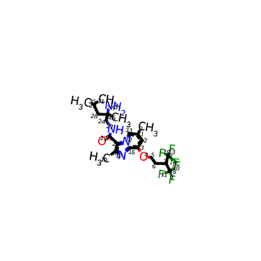 Cc1cc(OCCC(C(F)(F)F)C(F)(F)F)c2nc(C)c(C(=O)NCC(C)(N)CC(C)C)n2c1